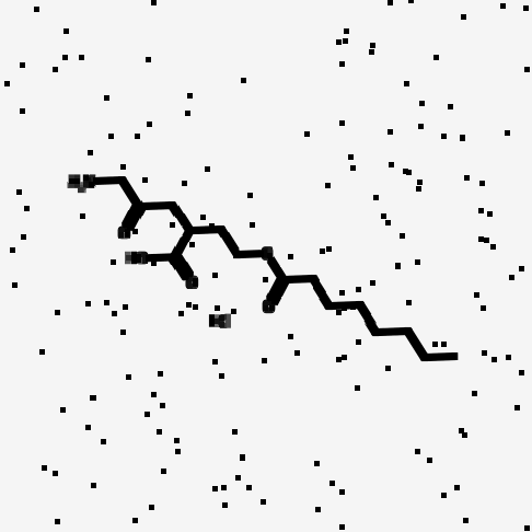 CCCCCCCC(=O)OCCC(CC(=O)CN)C(=O)O.Cl